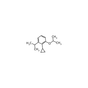 C[C](C)c1cccc(OC(C)C)c1C1CC1